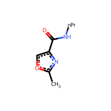 CCCNC(=O)c1coc(C)n1